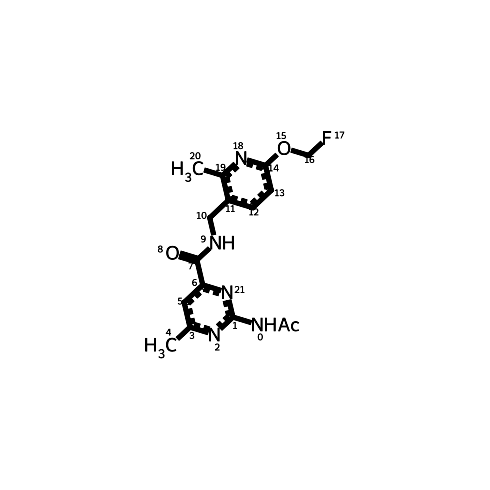 CC(=O)Nc1nc(C)cc(C(=O)NCc2ccc(OCF)nc2C)n1